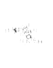 COc1cc(N2CCNCC2)c(N)cc1Nc1ncc(Cl)c(OC2CN(S(C)(=O)=O)C2)n1